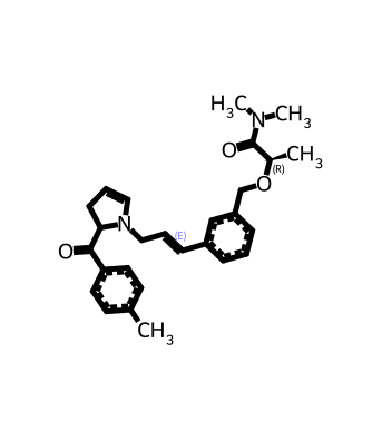 Cc1ccc(C(=O)C2CC=CN2C/C=C/c2cccc(CO[C@H](C)C(=O)N(C)C)c2)cc1